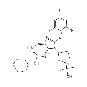 C=C(/N=C1\C(=C/N)N=C(Nc2c(F)cc(F)cc2F)N1C1CC[C@@H](C(C)(C)O)C1)NC1CCCCC1